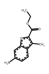 CCOC(=O)c1oc2cc(N)ccc2c1C